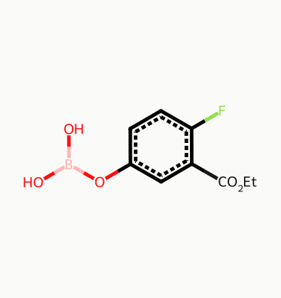 CCOC(=O)c1cc(OB(O)O)ccc1F